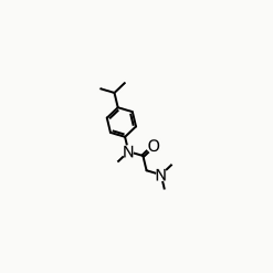 CC(C)c1ccc(N(C)C(=O)CN(C)C)cc1